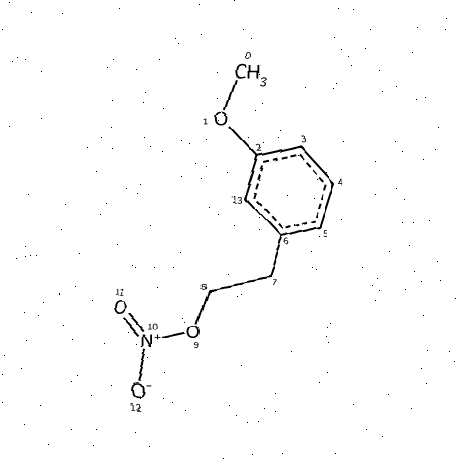 COc1cccc(CCO[N+](=O)[O-])c1